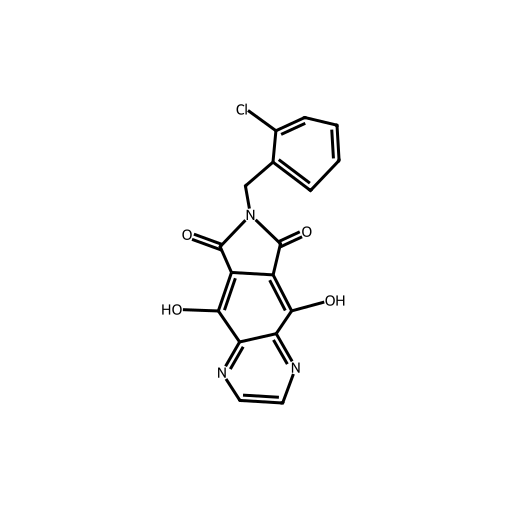 O=C1c2c(c(O)c3nccnc3c2O)C(=O)N1Cc1ccccc1Cl